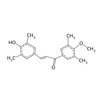 COc1c(C)cc(C(=O)C=Cc2cc(C)c(O)c(C)c2)cc1C